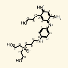 N=C1C=C(N)/C(=N/c2ccc(NCCC[N+]([O-])(CCO)CCO)cc2)C=C1OCCO